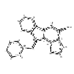 O=c1[nH]c2c3ccccc3c(=Cc3ccccn3)c2n2ccnc12